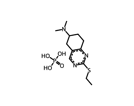 CCSc1ncc2c(n1)CCC(N(C)C)C2.O=P(O)(O)O